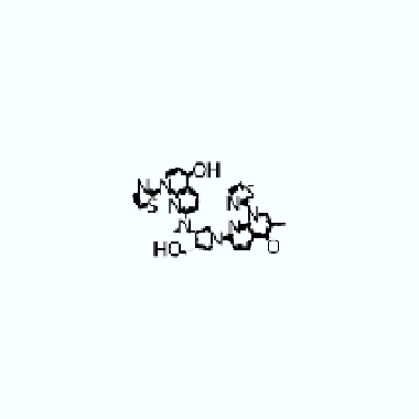 Cc1cn(-c2nccs2)c2nc(N3C[C@H](CO)[C@@H](N(C)c4ccc5c(n4)N(c4nccs4)C=CC5O)C3)ccc2c1=O